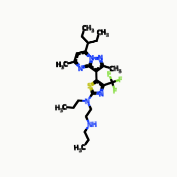 CCCNCCN(CCC)c1nc(C(F)(F)F)c(-c2c(C)nn3c(C(CC)CC)cc(C)nc23)s1